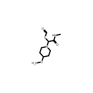 CNC(=O)C(SC=O)N1CCC(ON)CC1